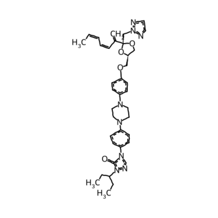 C=C(/C=C\C=C/C)[C@]1(Cn2nccn2)OC[C@@H](COc2ccc(N3CCN(c4ccc(-n5cnn(C(CC)CC)c5=O)cc4)CC3)cc2)O1